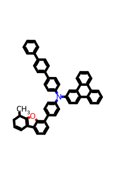 CC1CC=Cc2c1oc1c(-c3ccc(N(c4ccc(-c5ccc(-c6ccccc6)cc5)cc4)c4ccc5c6ccccc6c6ccccc6c5c4)cc3)cccc21